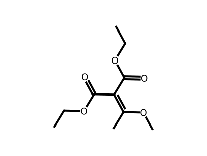 CCOC(=O)C(C(=O)OCC)=C(C)OC